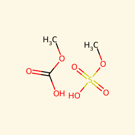 COC(=O)O.COS(=O)(=O)O